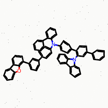 c1ccc(-c2ccc(-c3ccc(N(c4ccc(-c5cccc(-c6cccc7c6oc6ccccc67)c5)cc4)c4ccccc4-c4ccccc4)cc3)c(-n3c4ccccc4c4ccccc43)c2)cc1